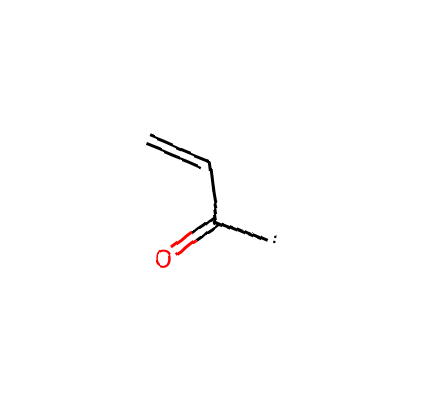 [CH]C(=O)C=C